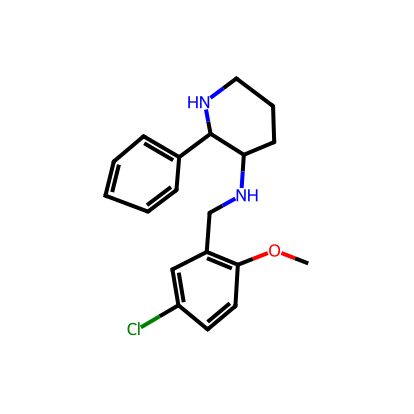 COc1ccc(Cl)cc1CNC1CCCNC1c1ccccc1